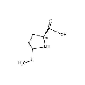 CCC1N[C@H](C(=O)O)CS1